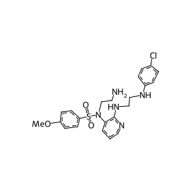 COc1ccc(S(=O)(=O)N(CCN)c2cccnc2NCCNc2ccc(Cl)cc2)cc1